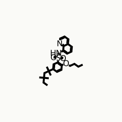 CCCCOc1ccc(C(C)(C)CC(C)(C)CC)cc1S(=O)(=O)Nc1cccc2cccnc12